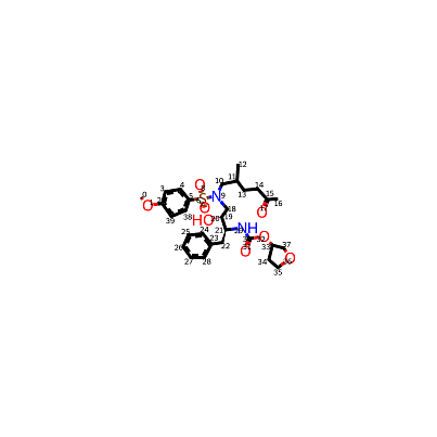 COc1ccc(S(=O)(=O)N(CC(C)CCC(C)=O)C[C@@H](O)[C@H](Cc2ccccc2)NC(=O)OC2CCOC2)cc1